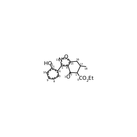 CCOC(=O)C1C(=O)c2c(-c3ccccc3O)noc2CC1C